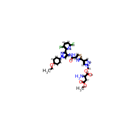 CCOC1CCC(n2cc(NC(=O)c3csc(-c4cnn(COC(=O)[C@H](N)CC(=O)OC)c4)n3)c(-c3nc(F)ccc3F)n2)CC1